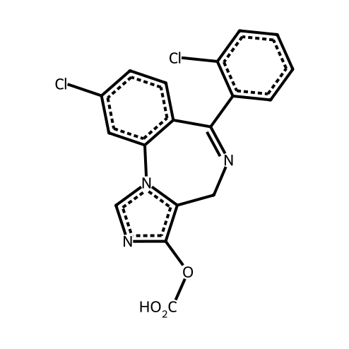 O=C(O)Oc1ncn2c1CN=C(c1ccccc1Cl)c1ccc(Cl)cc1-2